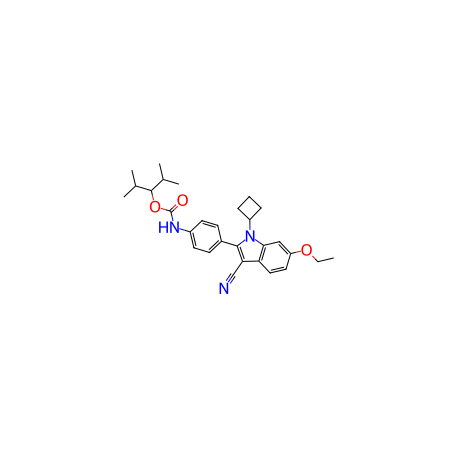 CCOc1ccc2c(C#N)c(-c3ccc(NC(=O)OC(C(C)C)C(C)C)cc3)n(C3CCC3)c2c1